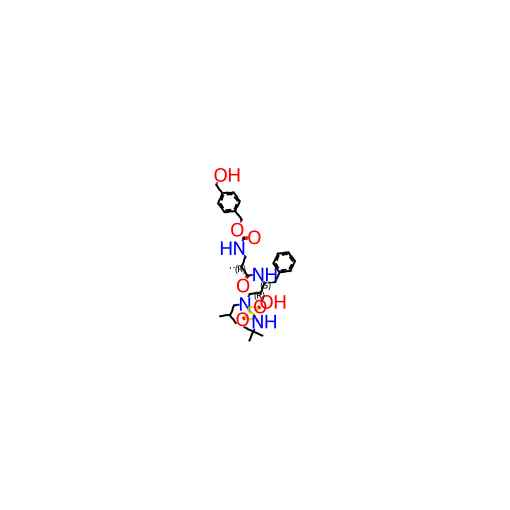 CC(C)CN(C[C@@H](O)[C@H](Cc1ccccc1)NC(=O)[C@H](C)CNC(=O)OCc1ccc(CO)cc1)S(=O)(=O)NC(C)(C)C